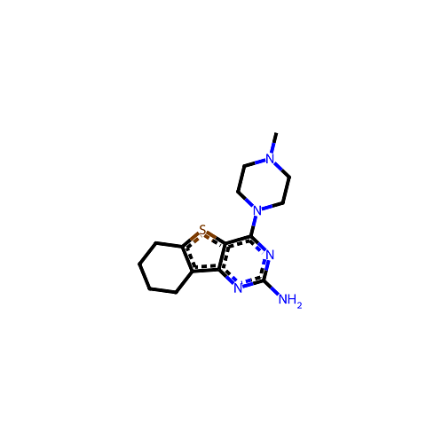 CN1CCN(c2nc(N)nc3c4c(sc23)CCCC4)CC1